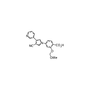 COCOc1cc(-n2cc(C#N)c(-c3cccnc3)c2)ccc1C(=O)O